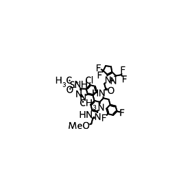 COCc1nc2nc(C(Cc3cc(F)cc(F)c3)NC(=O)Cn3nc(C(F)F)c4c3C(F)(F)CC4)c(-c3ccc(Cl)c4c(N[S+](C)[O-])nn(C)c34)cc2[nH]1